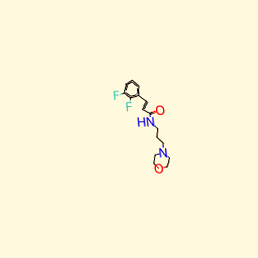 O=C(C=Cc1cccc(F)c1F)NCCCN1CCOCC1